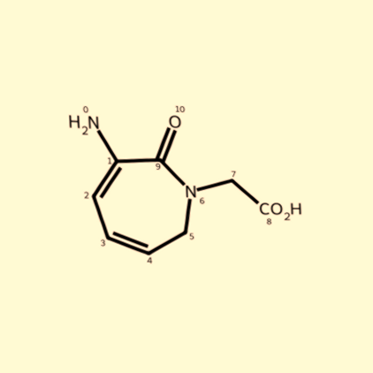 NC1=CC=CCN(CC(=O)O)C1=O